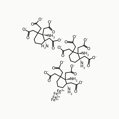 N[C@]1(CC(=O)[O-])CCCC(CC(=O)[O-])(CC(=O)[O-])[C@]1(N)CC(=O)[O-].N[C@]1(CC(=O)[O-])CCCC(CC(=O)[O-])(CC(=O)[O-])[C@]1(N)CC(=O)[O-].N[C@]1(CC(=O)[O-])CCCC(CC(=O)[O-])(CC(=O)[O-])[C@]1(N)CC(=O)[O-].[Fe+3].[Fe+3].[Fe+3].[Fe+3]